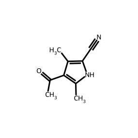 CC(=O)c1c(C)[nH]c(C#N)c1C